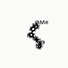 COc1ccc2cc(-c3cncc(N4CC5(CN(C(=O)n6cccn6)C5)C4)c3)ccc2n1